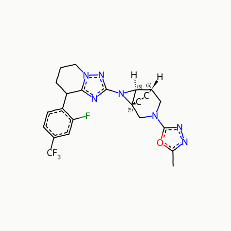 Cc1nnc(N2C[C@@H]3CC[C@]4(C2)[C@H]3N4c2nc3n(n2)CCCC3c2ccc(C(F)(F)F)cc2F)o1